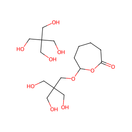 O=C1CCCCC(OCC(CO)(CO)CO)O1.OCC(CO)(CO)CO